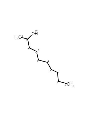 CCCCCCSCC(C)O